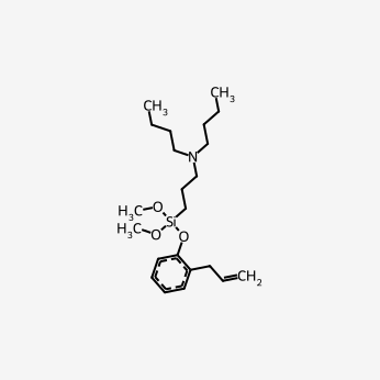 C=CCc1ccccc1O[Si](CCCN(CCCC)CCCC)(OC)OC